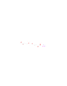 CONOC(=O)C(=O)CCC(=O)OC(=O)CCC(=O)C(=O)O